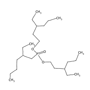 CCCCC(CC)CP(=O)(OCCC(CC)CCC)OCCC(CC)CCC